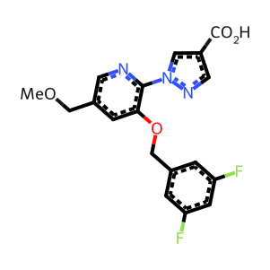 COCc1cnc(-n2cc(C(=O)O)cn2)c(OCc2cc(F)cc(F)c2)c1